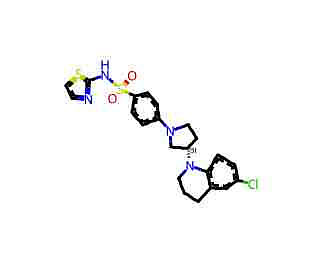 O=S(=O)(Nc1nccs1)c1ccc(N2CC[C@H](N3CCCc4cc(Cl)ccc43)C2)cc1